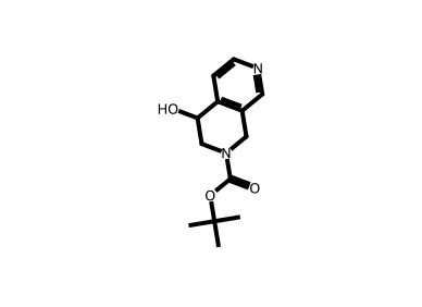 CC(C)(C)OC(=O)N1Cc2cnccc2C(O)C1